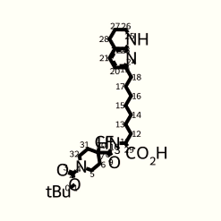 CC(C)(C)OC(=O)N1CCC(C(=O)NC(CCCCCCCc2ccc3c(n2)NCCC3)C(=O)O)(C(F)(F)F)CC1